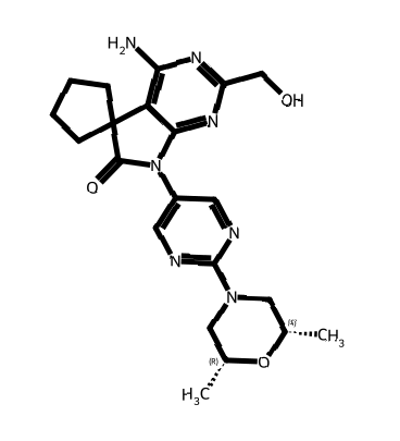 C[C@@H]1CN(c2ncc(N3C(=O)C4(CCCC4)c4c(N)nc(CO)nc43)cn2)C[C@H](C)O1